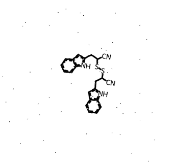 N#CC(Cc1cc2ccccc2[nH]1)SSC(C#N)Cc1cc2ccccc2[nH]1